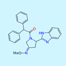 CON=C1CC(c2nc3ccccc3[nH]2)N(C(=O)C(c2ccccc2)c2ccccc2)C1